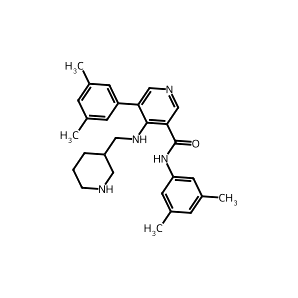 Cc1cc(C)cc(NC(=O)c2cncc(-c3cc(C)cc(C)c3)c2NCC2CCCNC2)c1